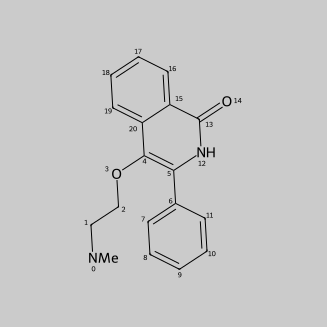 CNCCOc1c(-c2ccccc2)[nH]c(=O)c2ccccc12